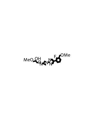 COCc1cccc(-c2cnc(N3CC(=NOCC(O)COC)C3)nc2)c1F